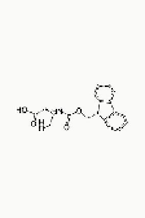 O=C(O)C[C@H](CO)NC(=O)OCC1c2ccccc2-c2ccccc21